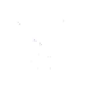 Cn1nc(-c2ccncc2)c2scc(-c3ccccc3O)c2c1=O.O=C(O)C(F)(F)F